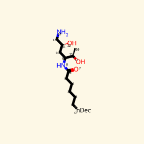 CCCCCCCCCCCCCCCC(=O)NC(C[C@@H](O)CN)[C@@H](C)O